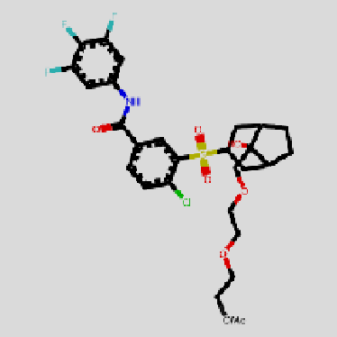 COCCOCCOCC1(O)C2CCC1CC(S(=O)(=O)c1cc(C(=O)Nc3cc(F)c(F)c(F)c3)ccc1Cl)C2